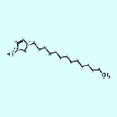 CCCCCCCCCCCCCCN1C=CN(C)C1